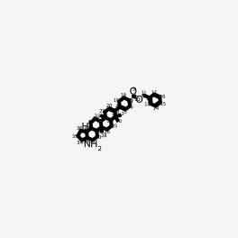 CC1(C)C(C2=CC[C@@H](C(=O)OCc3ccccc3)CC2)=CCC2(C)C1CCC1(C)C3CCC4(N)CCC[C@@H]4C3CCC12